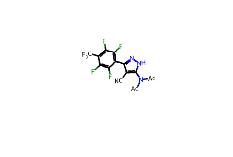 CC(=O)N(C(C)=O)c1[nH]nc(-c2c(F)c(F)c(C(F)(F)F)c(F)c2F)c1C#N